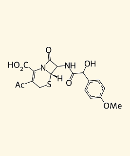 COc1ccc(C(O)C(=O)NC2C(=O)N3C(C(=O)O)=C(C(C)=O)CS[C@@H]23)cc1